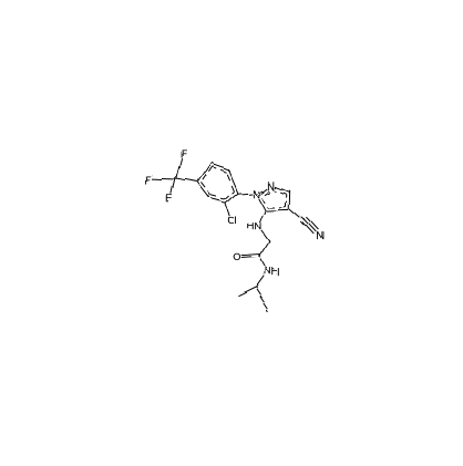 CC(C)NC(=O)CNc1c(C#N)cnn1-c1ccc(C(F)(F)F)cc1Cl